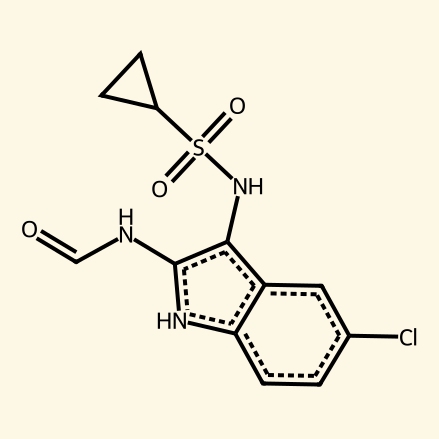 O=CNc1[nH]c2ccc(Cl)cc2c1NS(=O)(=O)C1CC1